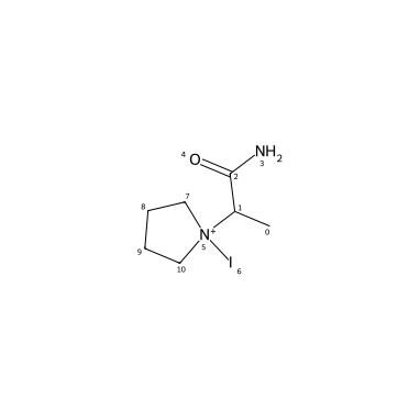 CC(C(N)=O)[N+]1(I)CCCC1